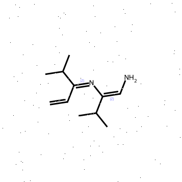 C=C/C(=N\C(=C/N)C(C)C)C(C)C